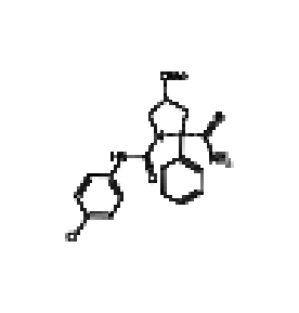 COC1CN(C(=O)Nc2ccc(Cl)cc2)C(C(N)=O)(c2ccccc2)C1